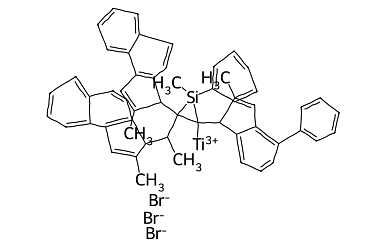 CC1=Cc2c(ccc3ccccc23)C1C(C)C1(C2C(C)=Cc3c2ccc2ccccc32)[C]([Ti+3])(C2C(C)=Cc3c(-c4ccccc4)cccc32)[Si]1(C)c1ccccc1.[Br-].[Br-].[Br-]